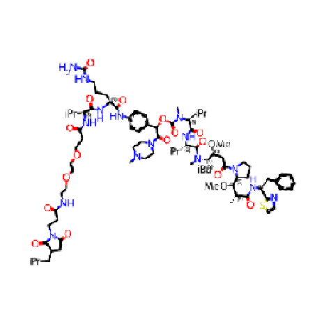 CC[C@H](C)[C@@H]([C@@H](CC(=O)N1CCC[C@H]1[C@H](OC)[C@@H](C)C(=O)N[C@@H](Cc1ccccc1)c1nccs1)OC)N(C)C(=O)[C@@H](NC(=O)[C@H](C(C)C)N(C)C(=O)OC(C(=O)N1CCN(C)CC1)c1ccc(NC(=O)[C@H](CCCNC(N)=O)NC(=O)[C@@H](NC(=O)CCOCCOCCNC(=O)CCN2C(=O)CC(CC(C)C)C2=O)C(C)C)cc1)C(C)C